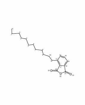 CCCCCCCCCCCCc1cccc2c1C(=O)OC2=O